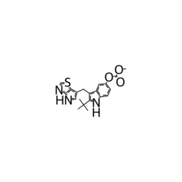 COC(=O)Oc1ccc2[nH]c(C(C)(C)C)c(Cc3c[nH]c4ncsc34)c2c1